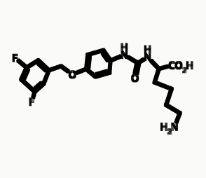 NCCCCC(NC(=O)Nc1ccc(OCc2cc(F)cc(F)c2)cc1)C(=O)O